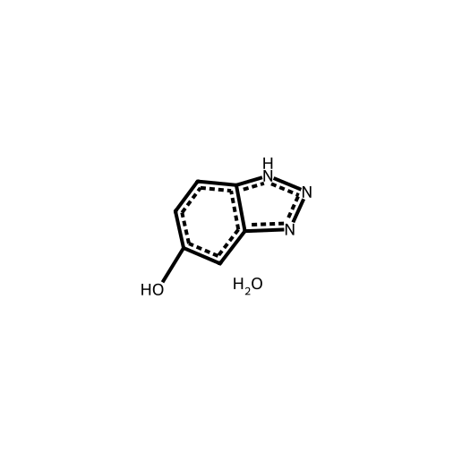 O.Oc1ccc2[nH]nnc2c1